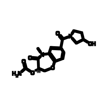 CN1C(=O)[C@@H](OC(N)=O)COc2ccc(C(=O)N3CCC(O)C3)cc21